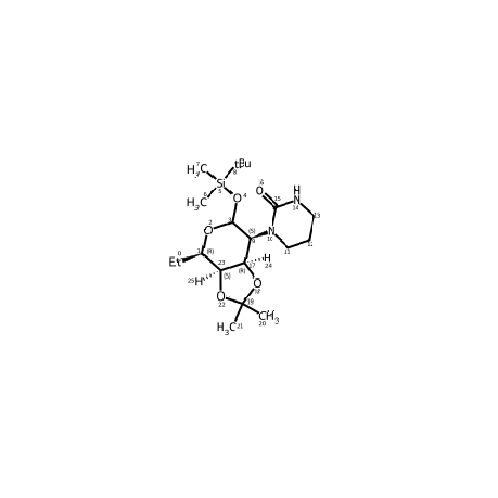 CC[C@H]1OC(O[Si](C)(C)C(C)(C)C)[C@@H](N2CCCNC2=O)[C@H]2OC(C)(C)O[C@H]21